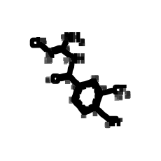 CC(C)c1ccc(C(=O)NC(N)=NCl)cc1C(F)(F)F